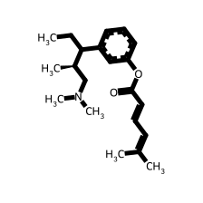 CCC(c1cccc(OC(=O)/C=C/C=C(C)C)c1)[C@H](C)CN(C)C